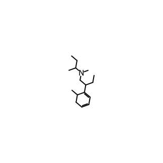 CCC(CN(C)C(C)CC)C1=CC=CCC1C